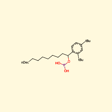 CCCCCCCCCCCCCCCCCC(OP(O)O)c1ccc(C(C)(C)C)cc1C(C)(C)C